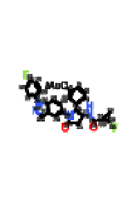 COc1cccc([C@H]2[C@H](NC(=O)[C@H]3C[C@H]3F)CC(=O)N2c2ccc3c(cnn3-c3ccc(F)cc3)c2)c1